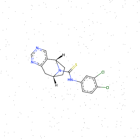 S=C(Nc1ccc(Cl)c(Cl)c1)N1[C@@H]2CC[C@H]1c1cncnc1C2